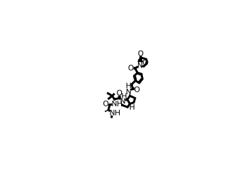 CN[C@@H](C)C(=O)N[C@H](C(=O)N1CC[C@H]2CC[C@H](NC(=O)Cc3cccc(C(=O)N4CC5CCC4C(=O)O5)c3)[C@H]21)C(C)(C)C